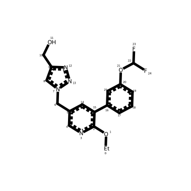 CCOc1ncc(Cn2cc(CO)nn2)cc1-c1cccc(OC(F)F)c1